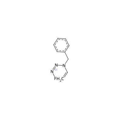 C=CN(Cc1ccccc1)/N=N\F